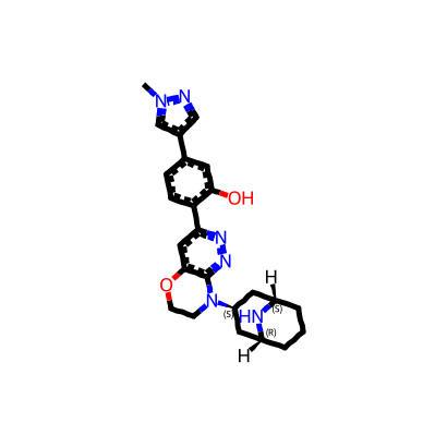 Cn1cc(-c2ccc(-c3cc4c(nn3)N([C@@H]3C[C@H]5CCC[C@@H](C3)N5)CCO4)c(O)c2)cn1